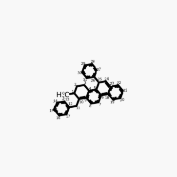 CC1CCc2c3c(ccc2=C1Cc1ccccc1)=c1ccccc1=CC3c1ccccc1